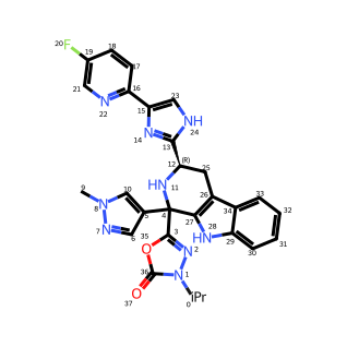 CC(C)n1nc(C2(c3cnn(C)c3)N[C@@H](c3nc(-c4ccc(F)cn4)c[nH]3)Cc3c2[nH]c2ccccc32)oc1=O